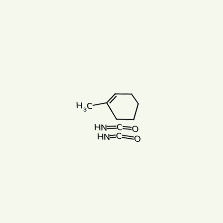 CC1=CCCCC1.N=C=O.N=C=O